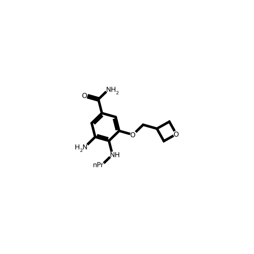 CCCNc1c(N)cc(C(N)=O)cc1OCC1COC1